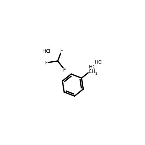 Cc1ccccc1.Cl.Cl.Cl.FC(F)F